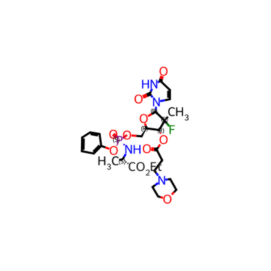 CCOC(=O)[C@H](C)N[P@](=O)(OC[C@H]1O[C@@H](n2ccc(=O)[nH]c2=O)[C@](C)(F)[C@@H]1OC(=O)CCN1CCOCC1)Oc1ccccc1